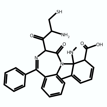 CNC1(N2C(=O)C(C(=O)C(N)CS)N=C(c3ccccc3)c3ccccc32)C(C)=CC=CC1C(=O)O